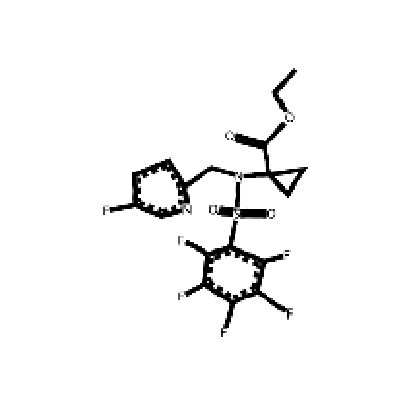 CCOC(=O)C1(N(Cc2ccc(F)cn2)S(=O)(=O)c2c(F)c(F)c(F)c(F)c2F)CC1